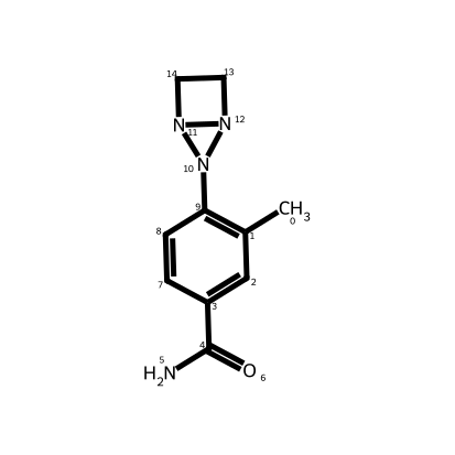 Cc1cc(C(N)=O)ccc1-n1n2n1CC2